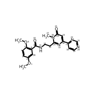 COc1ccc(OC)c(C(=O)NCCc2nc(-c3ccncn3)cc(=O)n2C)c1